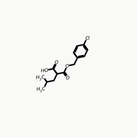 CC(C)CC(C(=O)O)C(=O)OCc1ccc(Cl)cc1